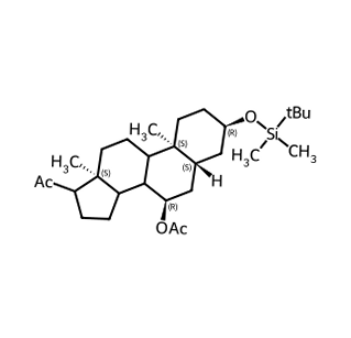 CC(=O)O[C@@H]1C[C@H]2C[C@H](O[Si](C)(C)C(C)(C)C)CC[C@]2(C)C2CC[C@]3(C)C(C(C)=O)CCC3C21